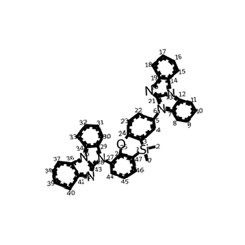 C[Si]1(C)c2cc(-n3c4ccccc4n4c5ccccc5nc34)ccc2Oc2c(-n3c4ccccc4n4c5ccccc5nc34)cccc21